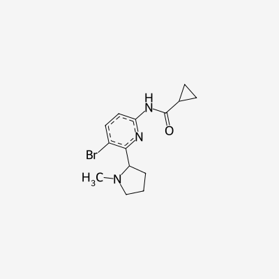 CN1CCCC1c1nc(NC(=O)C2CC2)ccc1Br